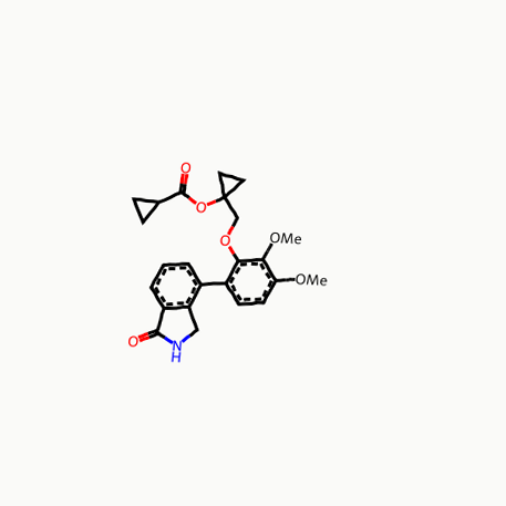 COc1ccc(-c2cccc3c2CNC3=O)c(OCC2(OC(=O)C3CC3)CC2)c1OC